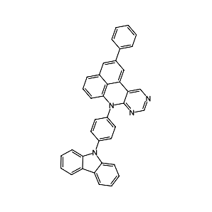 c1ccc(-c2cc3c4c(cccc4c2)N(c2ccc(-n4c5ccccc5c5ccccc54)cc2)c2ncncc2-3)cc1